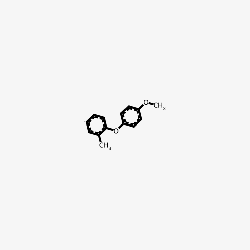 COc1ccc(Oc2cc[c]cc2C)cc1